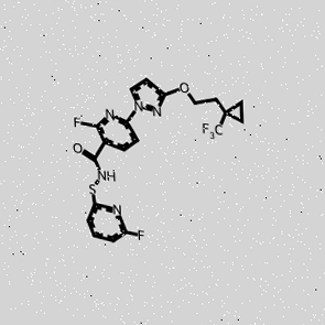 O=C(NSc1cccc(F)n1)c1ccc(-n2ccc(OCCC3(C(F)(F)F)CC3)n2)nc1F